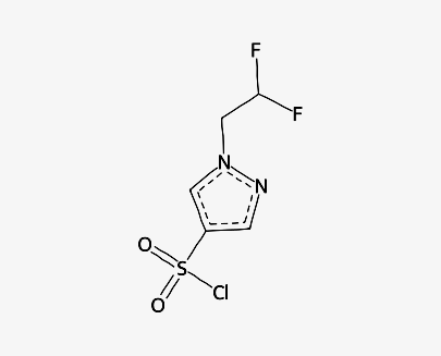 O=S(=O)(Cl)c1cnn(CC(F)F)c1